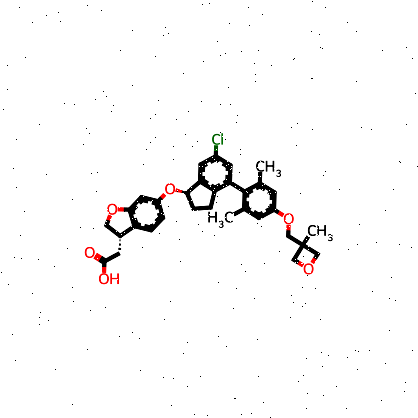 Cc1cc(OCC2(C)COC2)cc(C)c1-c1cc(Cl)cc2c1CC[C@H]2Oc1ccc2c(c1)OC[C@H]2CC(=O)O